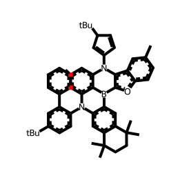 Cc1cc2c3c(c1)N(c1ccc(C(C)(C)C)cc1-c1ccccc1)c1cc4c(cc1B3c1oc3ccc(C)cc3c1N2C1=CC(C(C)(C)C)C=C1)C(C)(C)CCC4(C)C